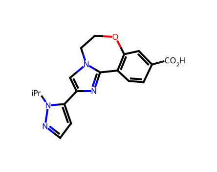 CC(C)n1nccc1-c1cn2c(n1)-c1ccc(C(=O)O)cc1OCC2